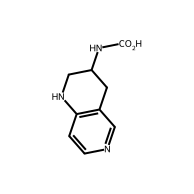 O=C(O)NC1CNc2ccncc2C1